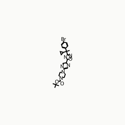 CC(C)(C)OC(=O)N1CCN(c2cnc(-c3nc(C(C)(c4ccc(Br)cc4)C4CC4)no3)cn2)CC1